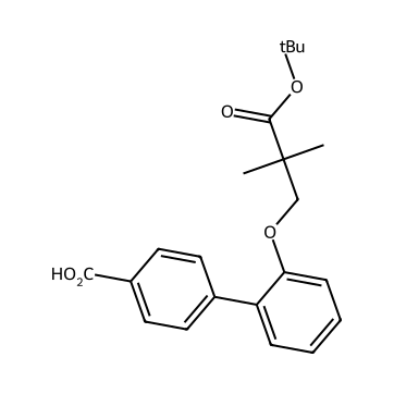 CC(C)(C)OC(=O)C(C)(C)COc1ccccc1-c1ccc(C(=O)O)cc1